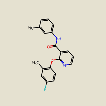 Cc1cc(F)ccc1Oc1ncccc1C(=O)Nc1cccc(C#N)c1